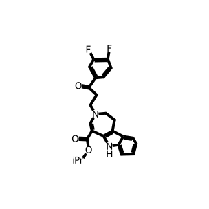 CC(C)OC(=O)C1=CN(CCC(=O)c2ccc(F)c(F)c2)CCc2c1[nH]c1ccccc21